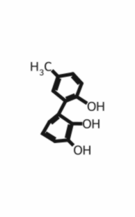 Cc1ccc(O)c(-c2cccc(O)c2O)c1